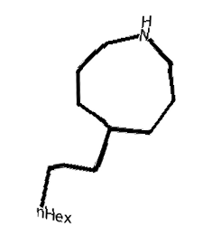 CCCCCCCCC1CCCNCCC1